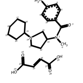 CN(C(=O)c1ccc(N)cc1)C1CCN(C2CCCCC2)C1.O=C(O)C=CC(=O)O